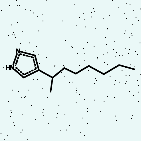 CCCCCCC(C)c1cn[nH]c1